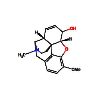 COc1ccc2c3c1O[C@H]1C(O)C=C[C@H]4C(C2)N(C)CC[C@@]341